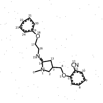 CN1CC(COc2ccccc2C#N)CC1=NCCOc1ccccc1